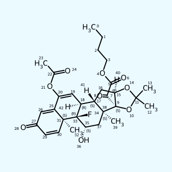 CCCCOC(=O)C(=O)[C@@]12OC(C)(C)O[C@@H]1C[C@H]1[C@@H]3C=C(OC(C)=O)C4=CC(=O)C=C[C@]4(C)[C@@]3(F)[C@@H](O)C[C@@]12C